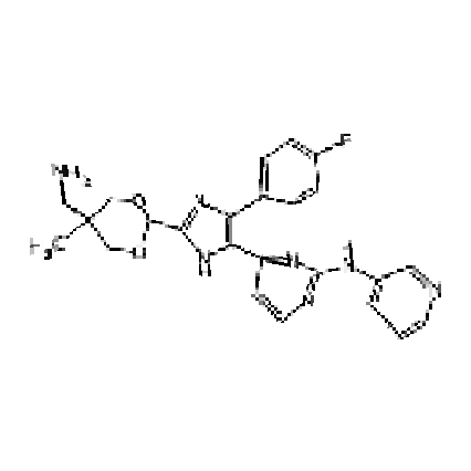 CC1(CN)COC(c2nc(-c3ccc(F)cc3)c(-c3ccnc(Nc4cccnc4)n3)[nH]2)OC1